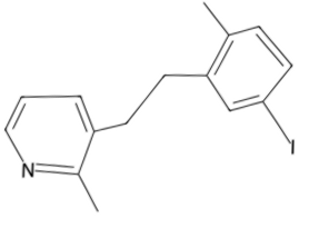 Cc1ccc(I)cc1CCc1cccnc1C